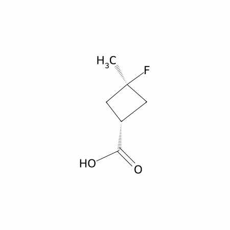 C[C@]1(F)C[C@H](C(=O)O)C1